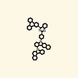 c1ccc2cc3c(cc2c1)c1c(-n2c4ccccc4c4c5ccccc5ccc42)cccc1n3-c1ccc(-c2nc(-c3ccc4c5ccccc5c5ccccc5c4c3)c3ccccc3n2)cc1